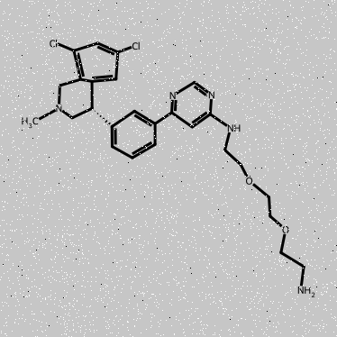 CN1Cc2c(Cl)cc(Cl)cc2[C@H](c2cccc(-c3cc(NCCOCCOCCN)ncn3)c2)C1